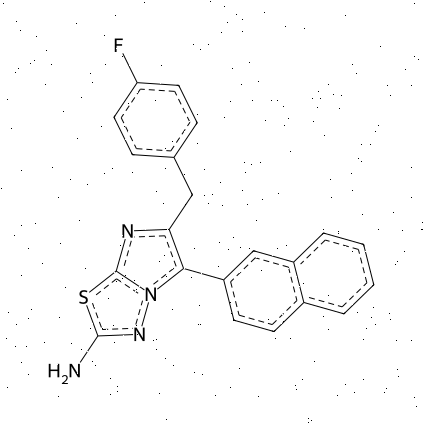 Nc1nn2c(-c3ccc4ccccc4c3)c(Cc3ccc(F)cc3)nc2s1